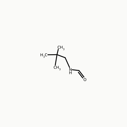 CC(C)(C)CNC=O